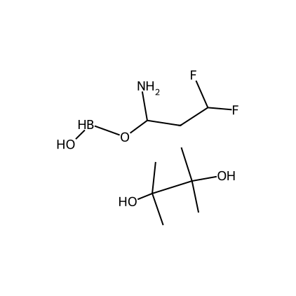 CC(C)(O)C(C)(C)O.NC(CC(F)F)OBO